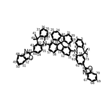 CC1(C)c2ccccc2N(c2ccc3c(c2)C2(c4ccccc4-c4ccccc42)c2cc(N4c5ccccc5C(C)(C)c5cc(-c6nc7ccccc7o6)ccc54)ccc2-3)c2ccc(-c3nc4ccccc4o3)cc21